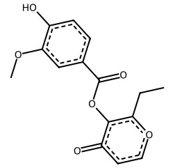 CCc1occc(=O)c1OC(=O)c1ccc(O)c(OC)c1